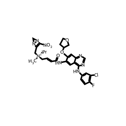 CC(C)[N@@+](C)(C/C=C/C(=O)Nc1cc2c(Nc3ccc(F)c(Cl)c3)ncnc2cc1OC1CCOC1)Cc1c([N+](=O)[O-])n2n1C2